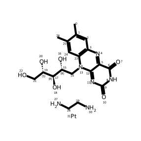 Cc1cc2nc3c(=O)[nH]c(=O)nc-3n(C[C@@H](O)[C@@H](O)[C@@H](O)CO)c2cc1C.NCCN.[Pt]